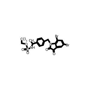 CC(NS(=O)(=O)OCC(Cl)(Cl)Cl)c1ccc(CN2C(=O)C(=O)c3cc(Br)cc(Br)c32)cc1